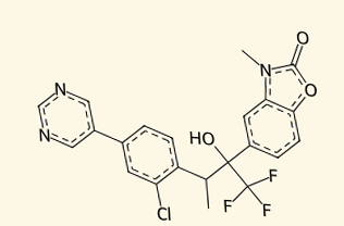 CC(c1ccc(-c2cncnc2)cc1Cl)C(O)(c1ccc2oc(=O)n(C)c2c1)C(F)(F)F